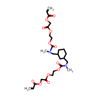 C=CC(=O)OCC(=O)OCCOC(=O)N(C)CC1CCCC(CN(C)C(=O)OCCOC(=O)COC(=O)C=C)C1